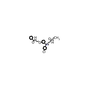 CCNC(=O)CC/N=C(/c1ccc(Cl)cc1)c1cccc(OCCNC(=O)c2ccccc2)c1